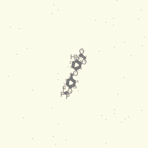 O=C1COc2cc(OCc3ccc(OC(F)(F)F)cc3)ccc2N1